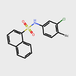 CC(=O)c1ccc(NS(=O)(=O)c2cccc3ccccc23)cc1Cl